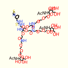 CC(=O)N[C@@H]1C(OCCOCCOCCNC(=O)CCOCC(CCOCCC(=O)NCCOCCOCCO[C@@H]2OC(CO)C(O)[C@H](O)[C@@H]2NC(C)=O)(COCCC(=O)NCCOCCOCCOC2OC(CO)[C@H](O)[C@H](O)[C@@H]2NC(C)=O)NC(=O)CNC(=S)NCc2cccc(N=C=S)c2)OC(CO)[C@H](O)C1O